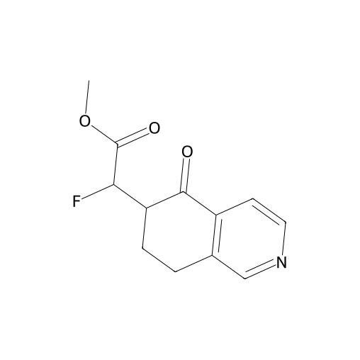 COC(=O)C(F)C1CCc2cnccc2C1=O